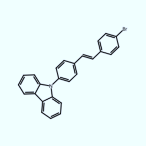 Brc1ccc(C=Cc2ccc(-n3c4ccccc4c4ccccc43)cc2)cc1